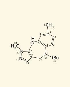 Cc1ccc2c(c1)Nc1c(cnn1C)CN2C(C)(C)C